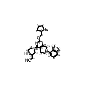 CN1CCCC1COc1nc2c(c(N3CCNC(CC#N)C3)n1)CCN(c1cccc(Cl)c1C(F)(F)F)C2